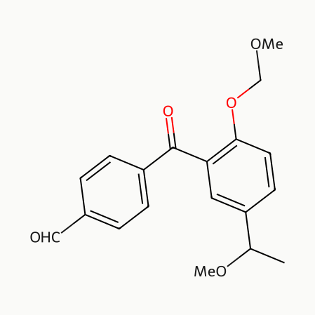 COCOc1ccc(C(C)OC)cc1C(=O)c1ccc(C=O)cc1